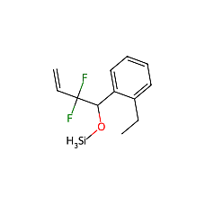 C=CC(F)(F)C(O[SiH3])c1ccccc1CC